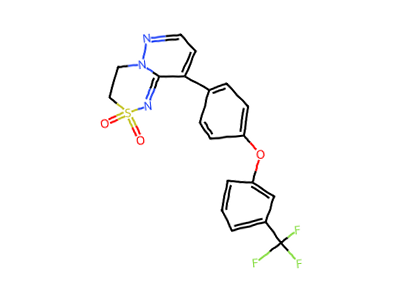 O=S1(=O)CCN2N=CC=C(c3ccc(Oc4cccc(C(F)(F)F)c4)cc3)C2=N1